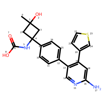 CC1(O)CC(NC(=O)O)(c2ccc(-c3cnc(N)cc3-c3ccsc3)cc2)C1